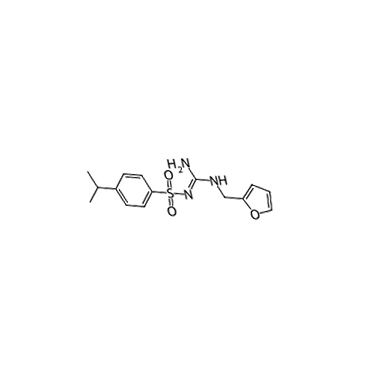 CC(C)c1ccc(S(=O)(=O)/N=C(\N)NCc2ccco2)cc1